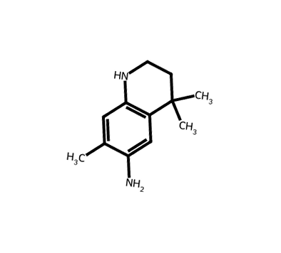 Cc1cc2c(cc1N)C(C)(C)CCN2